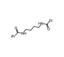 CCC(=O)NCCCCNC(=O)C(C)C